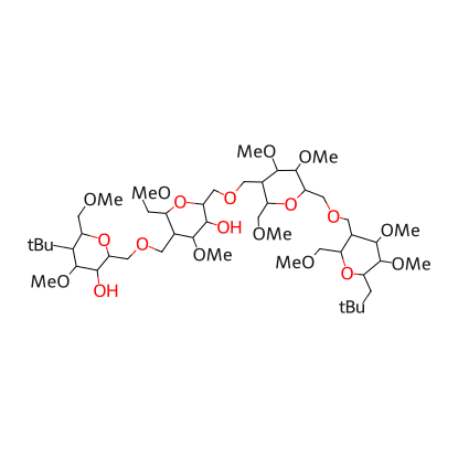 COCC1OC(COCC2C(COC)OC(COCC3C(COC)OC(CC(C)(C)C)C(OC)C3OC)C(OC)C2OC)C(O)C(OC)C1COCC1OC(COC)C(C(C)(C)C)C(OC)C1O